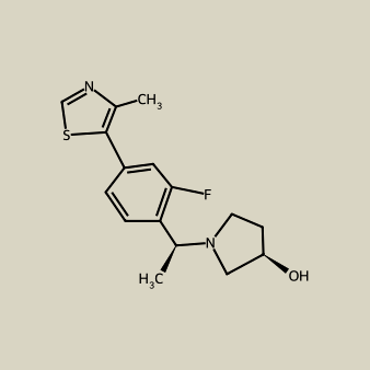 Cc1ncsc1-c1ccc([C@H](C)N2CC[C@@H](O)C2)c(F)c1